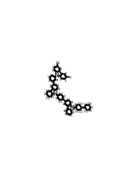 Cc1ccc2c(c1)c1cc(C)ccc1n2-c1cccc(-c2ccc3c(c2)c2ccccc2n3-c2ccc(-c3ccc4c(c3)c3ccccc3n4-c3ccc(-c4ccccc4)cc3)cc2)c1